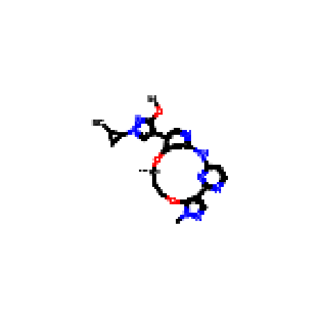 CCOc1nn(C2CC2C#N)cc1-c1cnc2cc1O[C@@H](C)CCOc1c(cnn1C)-c1nccc(n1)N2